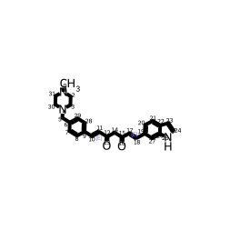 CN1CCN(Cc2ccc(/C=C/C(=O)CC(=O)/C=C/c3ccc4cc[nH]c4c3)cc2)CC1